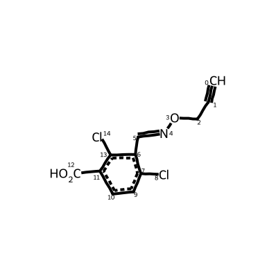 C#CCON=Cc1c(Cl)ccc(C(=O)O)c1Cl